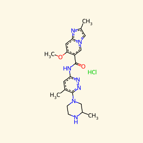 COc1cc2nc(C)cn2cc1C(=O)Nc1cc(C)c(N2CCNC(C)C2)nn1.Cl